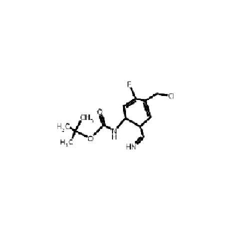 CC(C)(C)OC(=O)NC1C=C(F)C(CCl)=CC1C=N